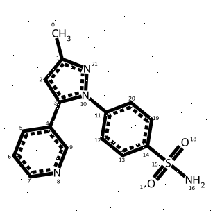 Cc1cc(-c2cccnc2)n(-c2ccc(S(N)(=O)=O)cc2)n1